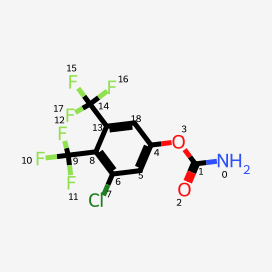 NC(=O)Oc1cc(Cl)c(C(F)(F)F)c(C(F)(F)F)c1